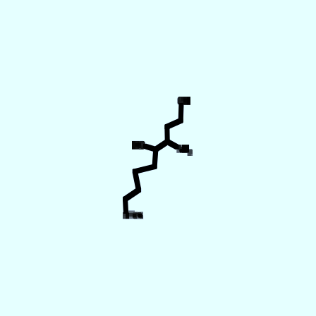 CCCCCCCCCCC(O)C(N)CCO